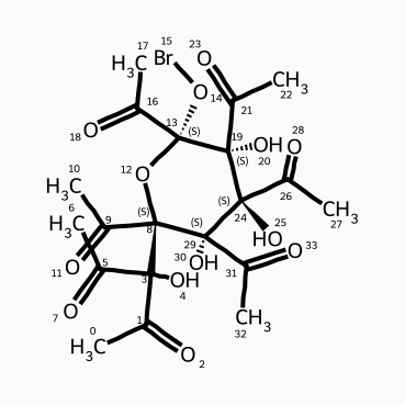 CC(=O)C(O)(C(C)=O)[C@@]1(C(C)=O)O[C@@](OBr)(C(C)=O)[C@@](O)(C(C)=O)[C@](O)(C(C)=O)[C@@]1(O)C(C)=O